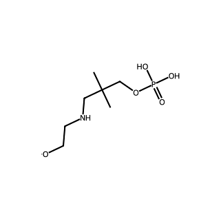 CC(C)(CNCC[O])COP(=O)(O)O